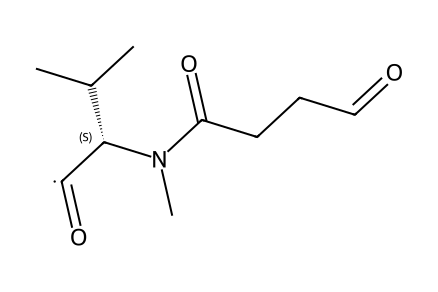 CC(C)[C@@H]([C]=O)N(C)C(=O)CCC=O